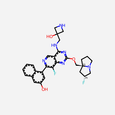 Oc1cc(-c2ncc3c(NCC4(O)CNC4)nc(OC[C@@]45CCCN4C[C@H](F)C5)nc3c2F)c2ccccc2c1